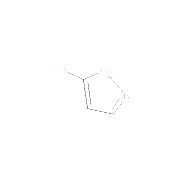 Oc1ccbo1